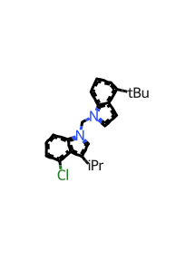 CC(C)c1cn(Cn2ccc3c(C(C)(C)C)cccc32)c2cccc(Cl)c12